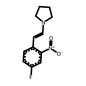 O=[N+]([O-])c1cc(F)ccc1C=CN1CCCC1